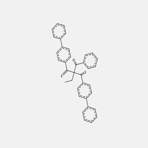 CCC(C(=O)c1ccccc1)(C(=S)c1ccc(-c2ccccc2)cc1)C(=S)c1ccc(-c2ccccc2)cc1